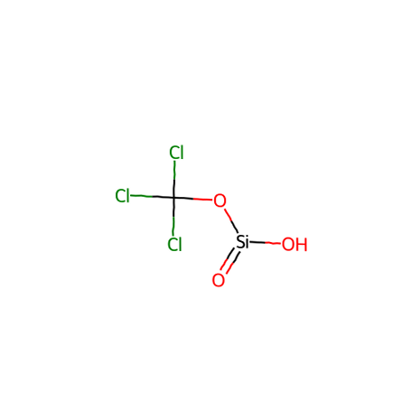 O=[Si](O)OC(Cl)(Cl)Cl